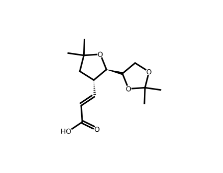 CC1(C)C[C@@H](/C=C/C(=O)O)[C@H](C2COC(C)(C)O2)O1